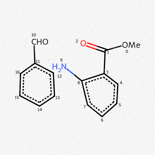 COC(=O)c1ccccc1N.O=Cc1ccccc1